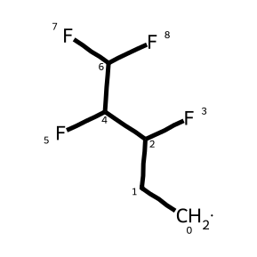 [CH2]CC(F)C(F)C(F)F